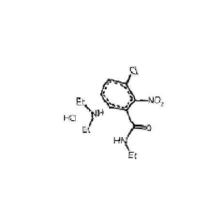 CCNC(=O)c1cccc(Cl)c1[N+](=O)[O-].CCNCC.Cl